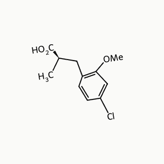 COc1cc(Cl)ccc1C[C@@H](C)C(=O)O